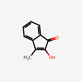 CC1=C(O)C(=O)c2ccccc21